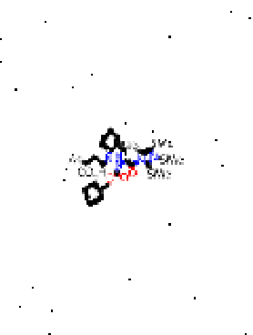 CSC1=C(SC)N(C(=O)[C@H](Cc2ccccc2N[C@@H](CCC(C)=O)C(=O)O)NC(=O)OCc2ccccc2)C(SC)N1SC